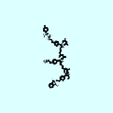 CCc1nc2c(C)cc(CCCc3nc4c(C)cc(CCCc5nc6c(C)cc(C)cn6c5-c5ccc(CCNC(=O)NS(=O)(=O)c6ccc(C)cc6)cc5)cn4c3-c3ccc(CCN)cc3)cn2c1-c1ccc(CCN2C(=O)c3ccccc3C2=O)cc1